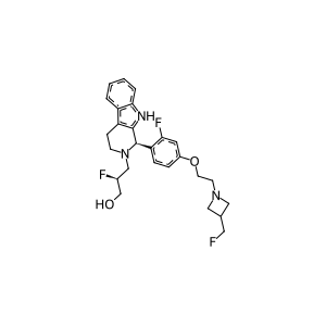 OC[C@@H](F)CN1CCc2c([nH]c3ccccc23)[C@H]1c1ccc(OCCN2CC(CF)C2)cc1F